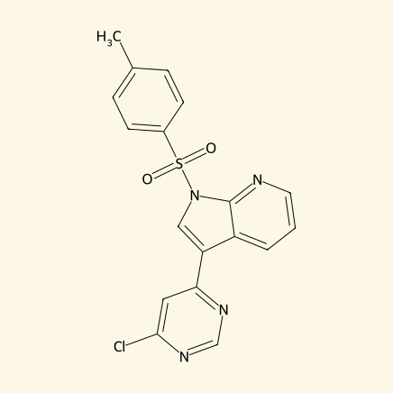 Cc1ccc(S(=O)(=O)n2cc(-c3cc(Cl)ncn3)c3cccnc32)cc1